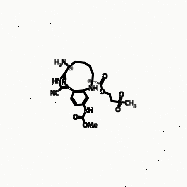 COC(=O)Nc1ccc2c(c1)N[C@@H](C(=O)OCCS(C)(=O)=O)CCCC[C@H](N)c1nc-2c(C#N)[nH]1